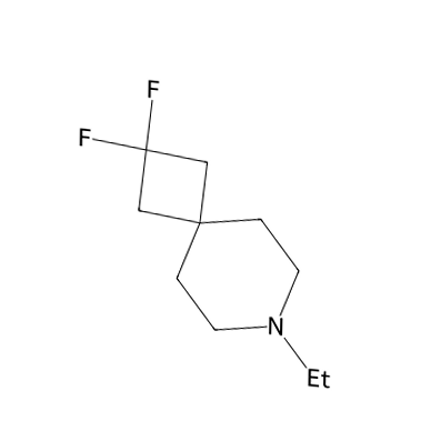 CCN1CCC2(CC1)CC(F)(F)C2